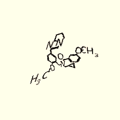 CCOc1ccc(-c2cn3c(n2)CCC3)cc1CN(CC1CC1)C(=O)c1cccc(OC)c1